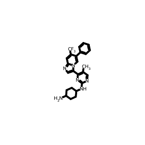 Cc1cnc(NC2CCC(N)CC2)nc1-c1cnc2cc(C(F)(F)F)c(-c3ccccc3)cn12